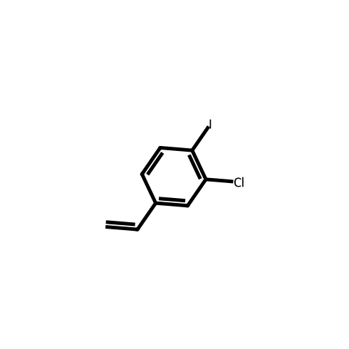 C=Cc1ccc(I)c(Cl)c1